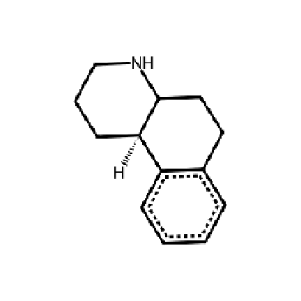 c1ccc2c(c1)CCC1NCCC[C@H]21